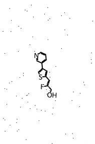 OCC(F)=Cc1cc(-c2cccnc2)cs1